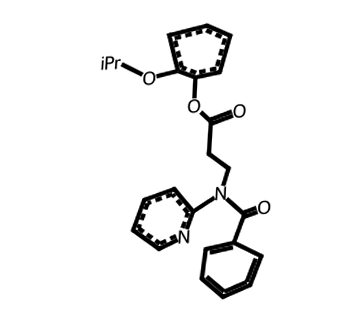 CC(C)Oc1ccccc1OC(=O)CCN(C(=O)C1=CC=C=C=C1)c1ccccn1